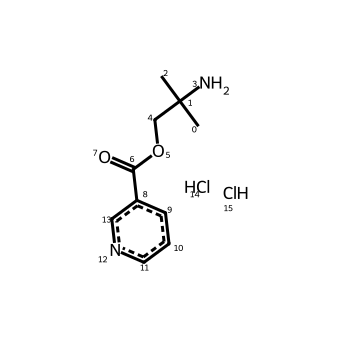 CC(C)(N)COC(=O)c1cccnc1.Cl.Cl